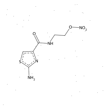 Nc1nc(C(=O)NCCO[N+](=O)[O-])cs1